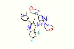 Cc1cc(-c2nc3cc(F)cc(F)c3c(Nc3cc(N4CCOCC4)cnc3N3CCOCC3)c2C)ccn1